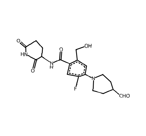 O=CC1CCN(c2cc(CO)c(C(=O)NC3CCC(=O)NC3=O)cc2F)CC1